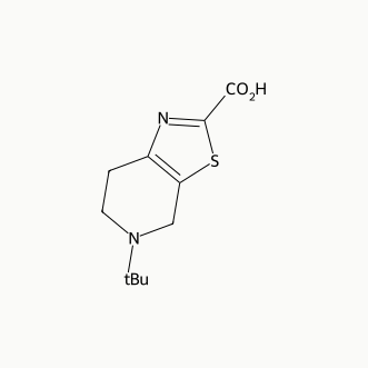 CC(C)(C)N1CCc2nc(C(=O)O)sc2C1